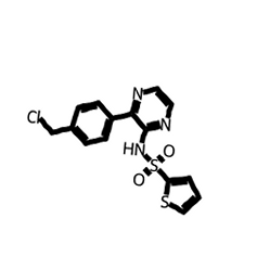 O=S(=O)(Nc1nccnc1-c1ccc(CCl)cc1)c1cccs1